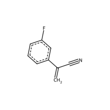 C=C(C#N)c1cccc(F)c1